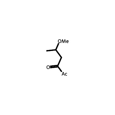 COC(C)CC(=O)C(C)=O